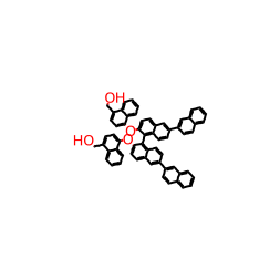 OCc1ccc(Oc2ccc3cc(-c4ccc5ccccc5c4)ccc3c2-c2c(Oc3ccc(CO)c4ccccc34)ccc3cc(-c4ccc5ccccc5c4)ccc23)c2ccccc12